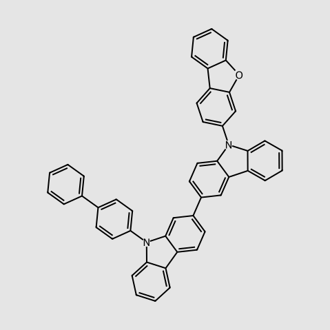 c1ccc(-c2ccc(-n3c4ccccc4c4ccc(-c5ccc6c(c5)c5ccccc5n6-c5ccc6c(c5)oc5ccccc56)cc43)cc2)cc1